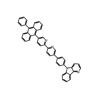 c1ccc(-c2c3ccccc3c(-c3ccc(-c4ccc(-c5ccc(-n6c7ccccc7c7ncccc76)cc5)cn4)nc3)c3ccccc23)cc1